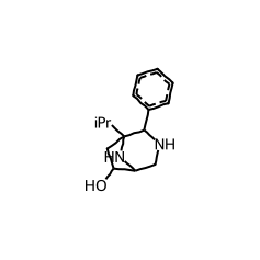 CC(C)C12CC(O)C(CNC1c1ccccc1)N2